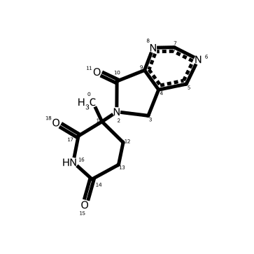 CC1(N2Cc3cncnc3C2=O)CCC(=O)NC1=O